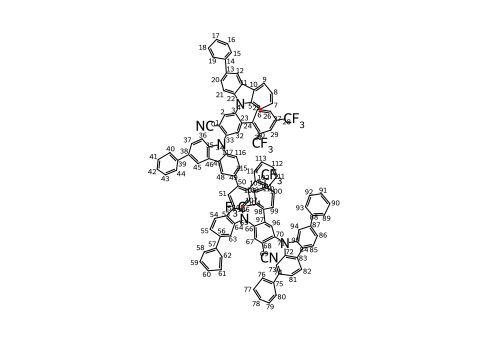 N#Cc1cc(-n2c3ccccc3c3cc(-c4ccccc4)ccc32)c(-c2ccc(C(F)(F)F)cc2C(F)(F)F)cc1-n1c2ccc(-c3ccccc3)cc2c2cc(-c3cc4c5ccc(-c6ccccc6)cc5n(-c5cc(C#N)c(-n6c7cc(-c8ccccc8)ccc7c7ccc(-c8ccccc8)cc76)cc5-c5ccc(C(F)(F)F)cc5C(F)(F)F)c4cc3-c3ccccc3)ccc21